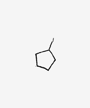 IC1C[CH]CC1